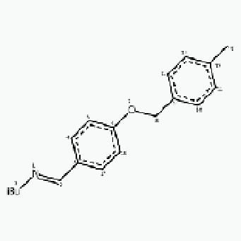 CCC(C)N=Cc1ccc(OCc2ccc(C)cc2)cc1